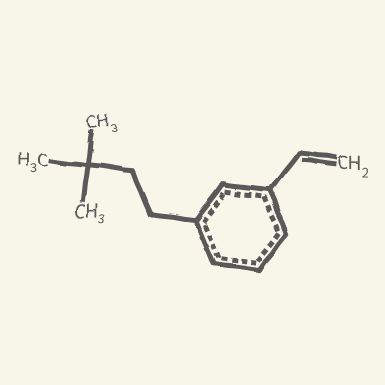 C=Cc1cccc(CCC(C)(C)C)c1